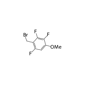 COc1cc(F)c(CBr)c(F)c1F